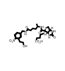 CC(CCCC(=O)NCc1ccc([N+](=O)[O-])c(CCO)c1)NC(=O)[C@@]1(CCCCC(=O)O)SC[C@@H]2NC(=O)N[C@@H]21